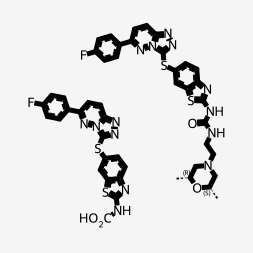 C[C@@H]1CN(CCNC(=O)Nc2nc3ccc(Sc4nnc5ccc(-c6ccc(F)cc6)nn45)cc3s2)C[C@H](C)O1.O=C(O)Nc1nc2ccc(Sc3nnc4ccc(-c5ccc(F)cc5)nn34)cc2s1